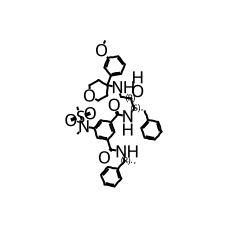 COc1cccc(C2(NC[C@@H](O)[C@H](Cc3ccccc3)NC(=O)c3cc(C(=O)N[C@H](C)c4ccccc4)cc(N(C)S(C)(=O)=O)c3)CCOCC2)c1